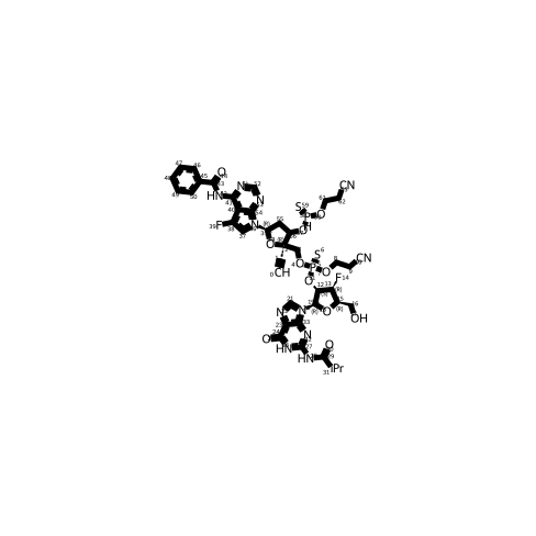 C#C[C@]1(COP(=S)(OCCC#N)O[C@@H]2[C@H](F)[C@@H](CO)O[C@H]2n2cnc3c(=O)[nH]c(NC(=O)C(C)C)nc32)O[C@@H](n2cc(F)c3c(NC(=O)c4ccccc4)ncnc32)CC1O[PH](=S)OCCC#N